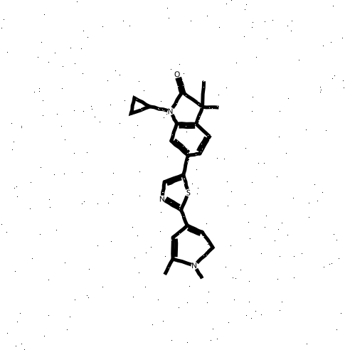 CC1=CC(c2ncc(-c3ccc4c(c3)N(C3CC3)C(=O)C4(C)C)s2)=CCN1C